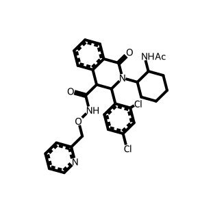 CC(=O)NC1CCCCC1N1C(=O)c2ccccc2C(C(=O)NOCc2ccccn2)C1c1ccc(Cl)cc1Cl